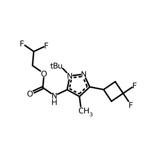 Cc1c(C2CC(F)(F)C2)nn(C(C)(C)C)c1NC(=O)OCC(F)F